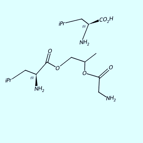 CC(C)C[C@H](N)C(=O)O.CC(C)C[C@H](N)C(=O)OCC(C)OC(=O)CN